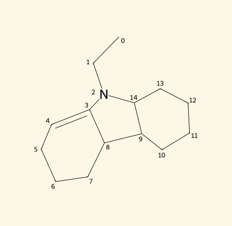 CCN1C2=CCCCC2C2CCCCC21